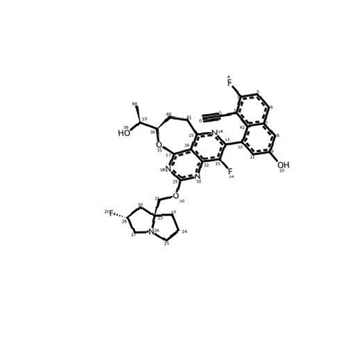 C#Cc1c(F)ccc2cc(O)cc(-c3nc4c5c(nc(OC[C@@]67CCCN6C[C@H](F)C7)nc5c3F)O[C@@H]([C@H](C)O)CC4)c12